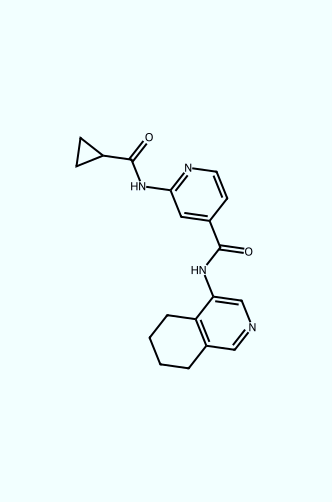 O=C(Nc1cncc2c1CCCC2)c1ccnc(NC(=O)C2CC2)c1